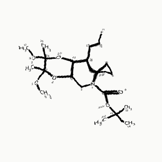 COC1(C)OC2CN(C(=O)OC(C)(C)C)C3(CC3)C(CCF)C2OC1(C)OC